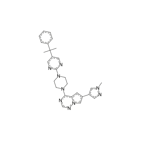 Cn1cc(-c2cc3c(N4CCN(c5ncc(C(C)(C)c6ccccc6)cn5)CC4)ncnn3c2)cn1